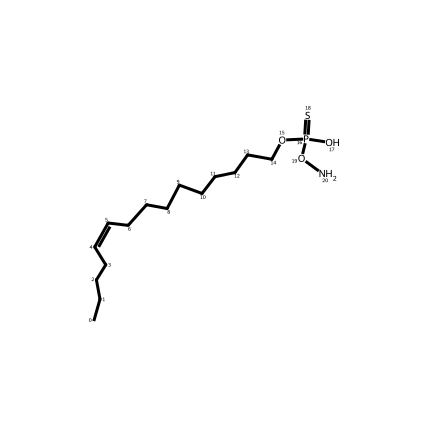 CCCC/C=C\CCCCCCCCCOP(O)(=S)ON